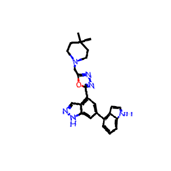 CC1(C)CCN(Cc2nnc(-c3cc(-c4cccc5[nH]ccc45)cc4[nH]ncc34)o2)CC1